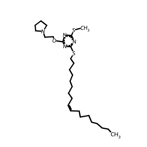 CCCCCCCC/C=C\CCCCCCCCSc1nc(OCCN2CCCC2)nc(SC)n1